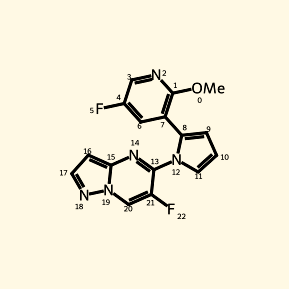 COc1ncc(F)cc1-c1cccn1-c1nc2ccnn2cc1F